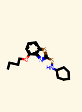 CCCCOc1cccc2sc(SNC3CCCCC3)nc12